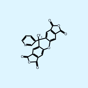 O=C1OC(=O)c2cc3c(cc21)Oc1cc2c(cc1C3(c1cccnc1)C(F)(F)F)C(=O)OC2=O